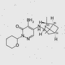 Bc1c(N[C@@H]2C[C@@H]3C[C@H]([C@H]2C)C3(C)C)cnn(C2CCCCO2)c1=O